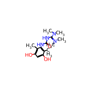 Cc1c(O)cc(O)c(C)c1NC(=O)NC(N(C)C)=[N+](C)C